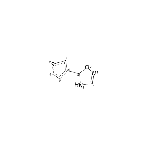 C1=NOC(c2ccsc2)N1